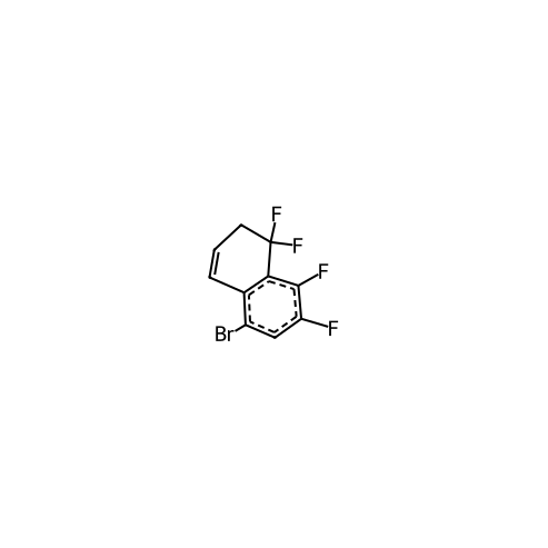 Fc1cc(Br)c2c(c1F)C(F)(F)CC=C2